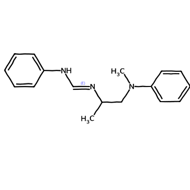 CC(CN(C)c1ccccc1)/N=C/Nc1ccccc1